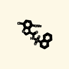 COc1ccc(Cl)c2c1C(C(=O)NS(=O)(=O)c1cccc3ccccc13)CO2